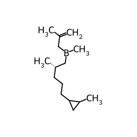 C=C(C)CB(C)C[C@@H](C)CCCC1CC1C